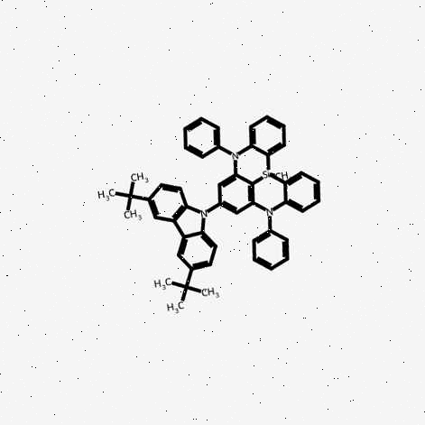 CC(C)(C)c1ccc2c(c1)c1cc(C(C)(C)C)ccc1n2-c1cc2c3c(c1)N(c1ccccc1)c1ccccc1[Si]3(C)c1ccccc1N2c1ccccc1